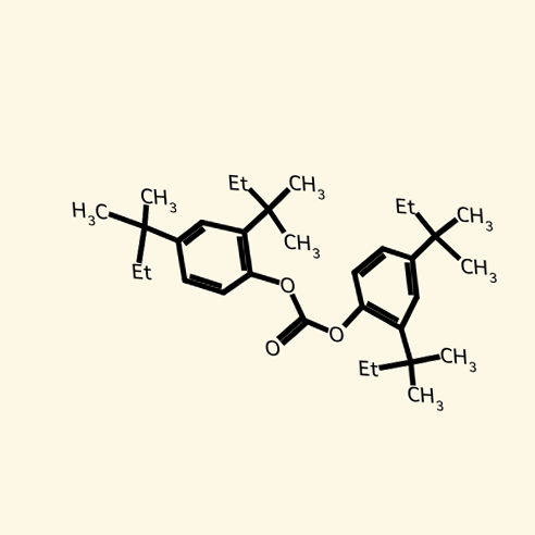 CCC(C)(C)c1ccc(OC(=O)Oc2ccc(C(C)(C)CC)cc2C(C)(C)CC)c(C(C)(C)CC)c1